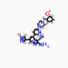 COc1ccccc1CN1CCN(c2ccc(-c3cc(-c4cnn(C)c4)cn4nc(N)c(C#N)c34)cn2)CC1